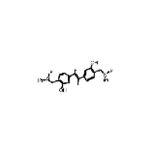 C/C(=C(/C)c1ccc(CN(C(C)C)C(C)C)c(O)c1)c1ccc(CN(C(C)C)C(C)C)c(O)c1